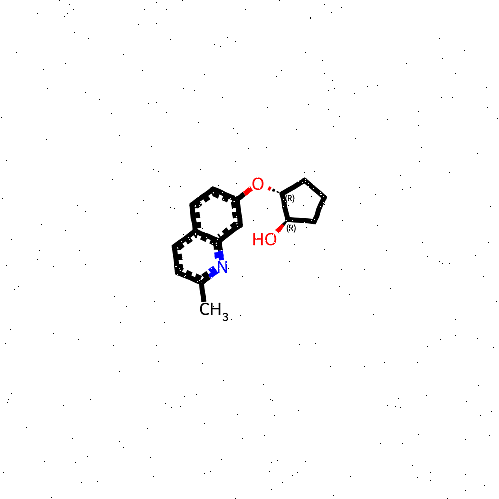 Cc1ccc2ccc(O[C@@H]3CCC[C@H]3O)cc2n1